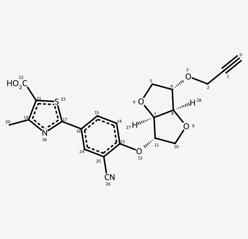 C#CCO[C@H]1CO[C@H]2[C@@H]1OC[C@@H]2Oc1ccc(-c2nc(C)c(C(=O)O)s2)cc1C#N